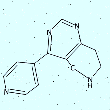 c1cc(-c2ncnc3c2CNCC3)ccn1